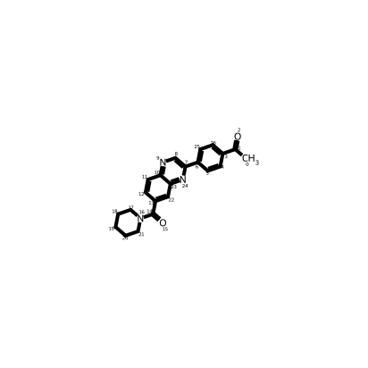 CC(=O)c1ccc(-c2cnc3ccc(C(=O)N4CCCCC4)cc3n2)cc1